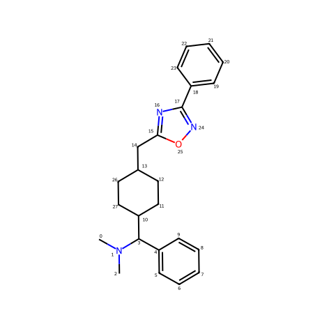 CN(C)C(c1ccccc1)C1CCC(Cc2nc(-c3ccccc3)no2)CC1